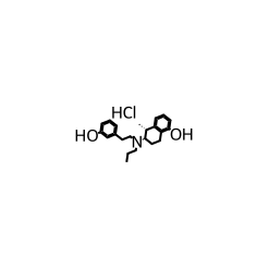 CCCN(CCc1cccc(O)c1)[C@H]1CCc2c(O)cccc2[C@H]1C.Cl